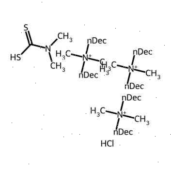 CCCCCCCCCC[N+](C)(C)CCCCCCCCCC.CCCCCCCCCC[N+](C)(C)CCCCCCCCCC.CCCCCCCCCC[N+](C)(C)CCCCCCCCCC.CN(C)C(=S)S.Cl